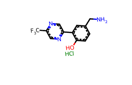 Cl.NCc1ccc(O)c(-c2cnc(C(F)(F)F)cn2)c1